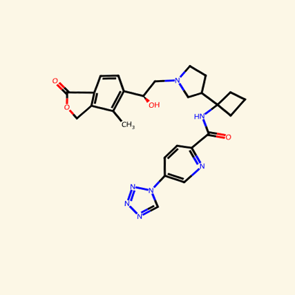 Cc1c([C@H](O)CN2CCC(C3(NC(=O)c4ccc(-n5cnnn5)cn4)CCC3)C2)ccc2c1COC2=O